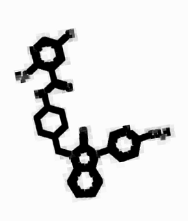 O=C(O)c1ccc(-n2c(=O)n(CC3CCC(NC(=O)c4cc(Cl)cnc4C(F)(F)F)CC3)c3ccccc32)cn1